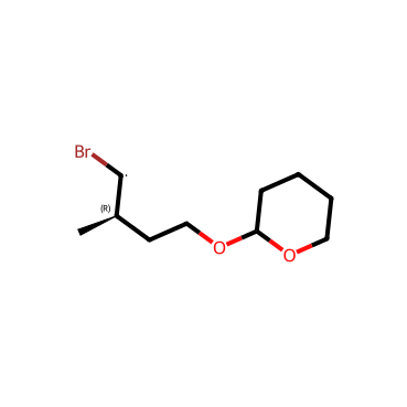 C[C@@H]([CH]Br)CCOC1CCCCO1